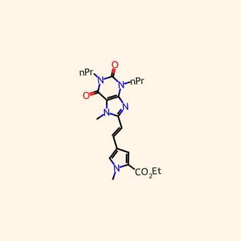 CCCn1c(=O)c2c(nc(C=Cc3cc(C(=O)OCC)n(C)c3)n2C)n(CCC)c1=O